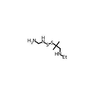 CCNCC(C)(C)SSNCN